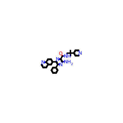 CC(C)(CNC(=O)c1nc(-c2ccc3ncccc3c2)c(-c2ccccc2)nc1N)c1ccncc1